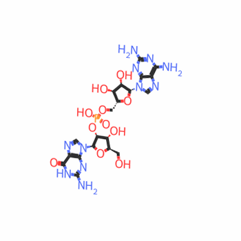 Nc1nc(N)c2ncn([C@@H]3O[C@H](COP(=O)(O)O[C@@H]4[C@H](O)[C@@H](CO)O[C@H]4n4cnc5c(=O)[nH]c(N)nc54)[C@@H](O)[C@H]3O)c2n1